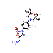 [2H]C1([2H])CN(c2ccc(N3C[C@H](CN)OC3=O)cc2F)CC([2H])([2H])O1